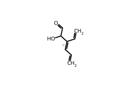 C=C/C=C(\C=C)C(O)C=O